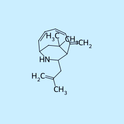 C=C(C)CC1NC2/C=C\C=C/C(=C)C1C(C)(C)C2